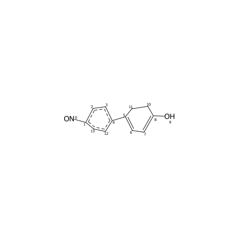 O=Nc1ccc(C2=CC=C(O)CC2)cc1